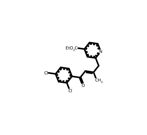 CCOC(=O)c1ccnc(CC(C)=CC(=O)c2ccc(Cl)cc2Cl)c1